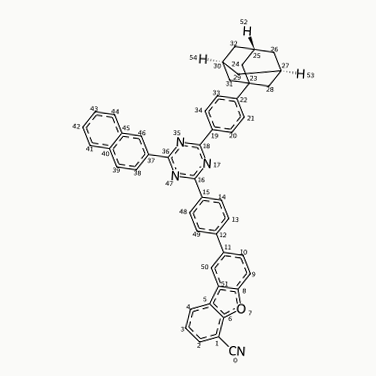 N#Cc1cccc2c1oc1ccc(-c3ccc(-c4nc(-c5ccc(C67C[C@H]8C[C@@H](C6)C[C@@H](C7)C8)cc5)nc(-c5ccc6ccccc6c5)n4)cc3)cc12